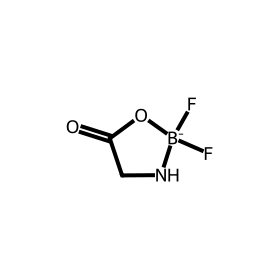 O=C1CN[B-](F)(F)O1